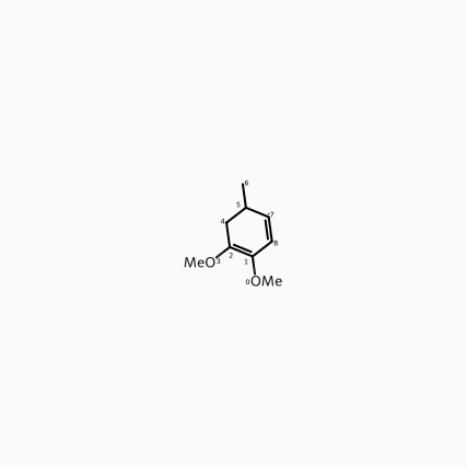 COC1=C(OC)CC(C)[C]=C1